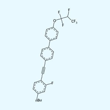 CCCCc1ccc(C#Cc2ccc(-c3ccc(OC(F)(F)C(F)C(F)(F)F)cc3)cc2)c(F)c1